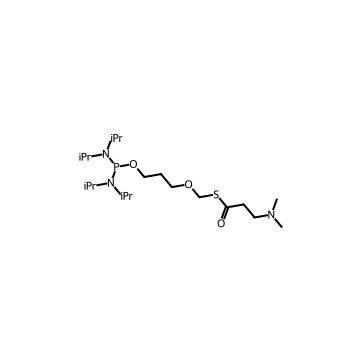 CC(C)N(C(C)C)P(OCCCOCSC(=O)CCN(C)C)N(C(C)C)C(C)C